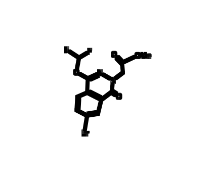 COC(=O)Cn1nc(OC(F)F)c2ccc(Br)cc2c1=O